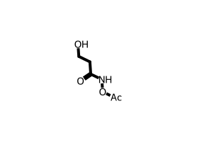 CC(=O)ONC(=O)CCO